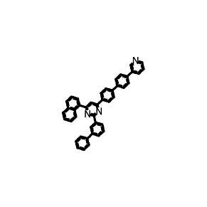 c1ccc(-c2cccc(-c3nc(-c4ccc(-c5ccc(-c6cccnc6)cc5)cc4)cc(-c4cccc5ccccc45)n3)c2)cc1